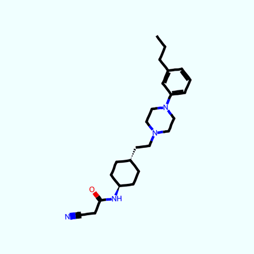 CCCc1cccc(N2CCN(CC[C@H]3CC[C@H](NC(=O)CC#N)CC3)CC2)c1